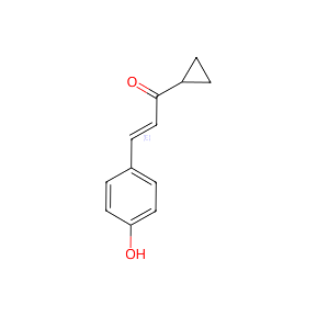 O=C(/C=C/c1ccc(O)cc1)C1CC1